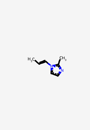 CC=Cn1ccnc1C